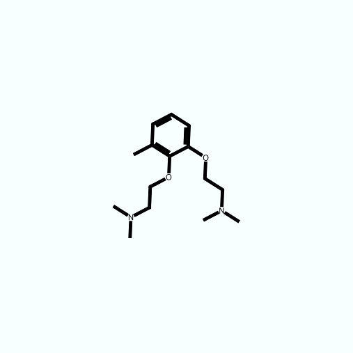 Cc1cccc(OCCN(C)C)c1OCCN(C)C